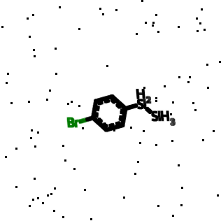 [SiH3][SiH2]c1ccc(Br)cc1